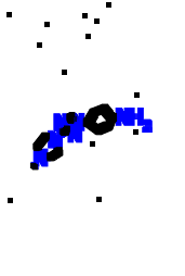 CN1CCN(c2ncn(-c3ccc(N)cc3)n2)CC1